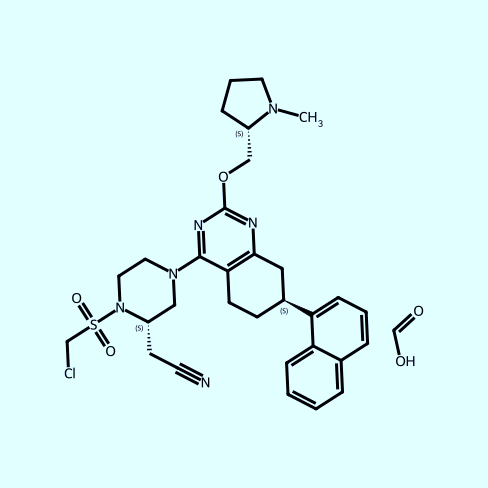 CN1CCC[C@H]1COc1nc2c(c(N3CCN(S(=O)(=O)CCl)[C@@H](CC#N)C3)n1)CC[C@H](c1cccc3ccccc13)C2.O=CO